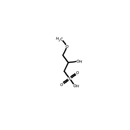 COCC(O)CS(=O)(=O)O